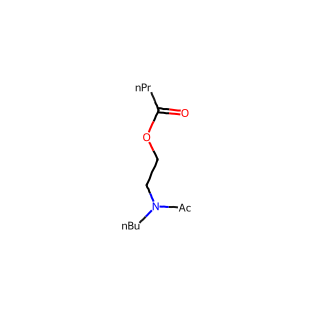 CCCCN(CCOC(=O)CCC)C(C)=O